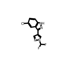 FC(F)n1cc(-c2n[nH]c3ccc(Cl)cc23)cn1